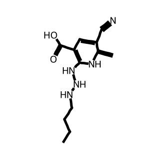 C=C1NC(NNNCCCC)=C(C(=O)O)C=C1C#N